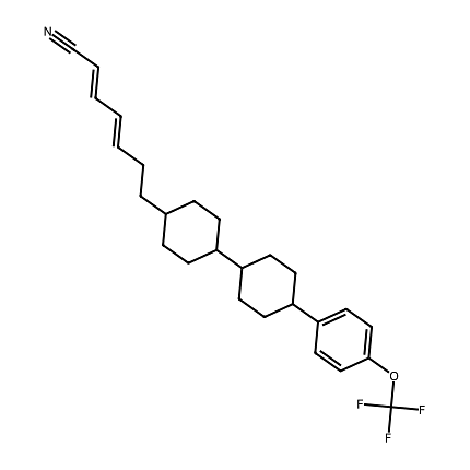 N#CC=CC=CCCC1CCC(C2CCC(c3ccc(OC(F)(F)F)cc3)CC2)CC1